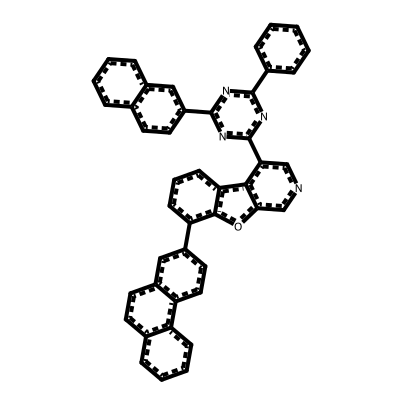 c1ccc(-c2nc(-c3ccc4ccccc4c3)nc(-c3cncc4oc5c(-c6ccc7c(ccc8ccccc87)c6)cccc5c34)n2)cc1